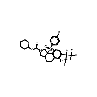 O=C(SC1CCCCC1)N1CC2CCc3cc(C(F)(C(F)(F)F)C(F)(F)F)ccc3C2(S(=O)(=O)c2ccc(F)cc2)C1